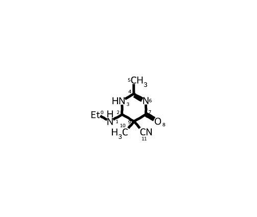 CCNC1NC(C)=NC(=O)C1(C)C#N